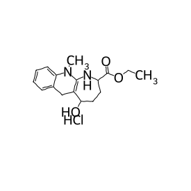 CCOC(=O)C1CCC(O)C2=C(N1)N(C)c1ccccc1C2.Cl